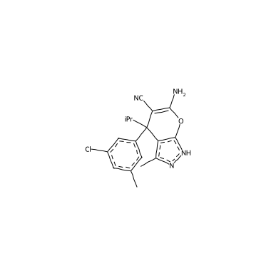 Cc1cc(Cl)cc(C2(C(C)C)C(C#N)=C(N)Oc3[nH]nc(C)c32)c1